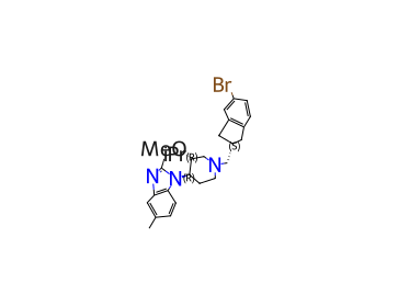 CO[C@@H]1CN(C[C@H]2Cc3ccc(Br)cc3C2)CC[C@H]1n1c(C(C)C)nc2cc(C)ccc21